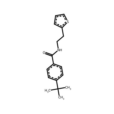 CC(C)(C)c1ccc(C(=O)NCCc2cccs2)cc1